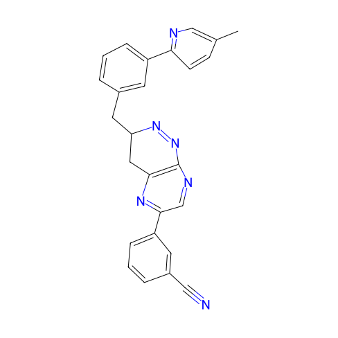 Cc1ccc(-c2cccc(CC3Cc4nc(-c5cccc(C#N)c5)cnc4N=N3)c2)nc1